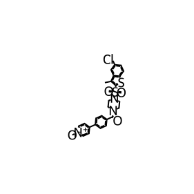 Cc1c(S(=O)(=O)N2CCN(C(=O)c3ccc(-c4cc[n+]([O-])cc4)cc3)CC2)sc2ccc(Cl)cc12